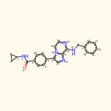 O=C(NC1CC1)c1ccc(-c2cnc3c(NCc4ccccc4)nccn23)cc1